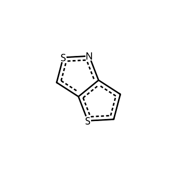 c1cc2nscc2s1